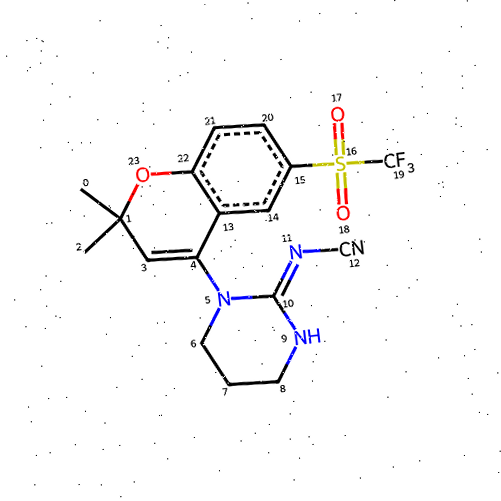 CC1(C)C=C(N2CCCNC2=NC#N)c2cc(S(=O)(=O)C(F)(F)F)ccc2O1